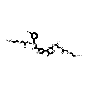 CC[C@H](COC(=O)COCCOC)Nc1ncc(C)c(-c2c[nH]c(C(=O)N[C@H](COC(=O)COCCOC)c3cccc(Cl)c3)c2)n1